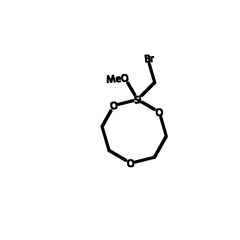 CO[Si]1(CBr)OCCOCCO1